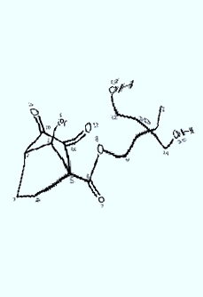 CC(C)C1C2CCC1(C(=O)OCC(C)(CO)CO)C(=O)C2=O